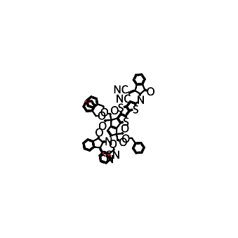 N#CC(C#N)=C1/C(=N/C2=CC3=C(c4sc5c(sc6cc(/N=C7/C(=O)c8ccccc8C7=C(C#N)C#N)sc65)c4C3(C(=O)OCc3ccccc3)C(=O)OCc3ccccc3)C2(C(=O)OCc2ccccc2)C(=O)OCc2ccccc2)C(=O)c2ccccc21